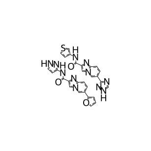 O=C(Nc1cc[nH]n1)c1cn2cc(-c3ccco3)ccc2n1.O=C(Nc1ccsc1)c1cn2cc(-c3nc[nH]n3)ccc2n1